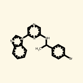 CC(Nc1cncc(-n2cnc3ccccc32)n1)c1ccc(Br)cc1